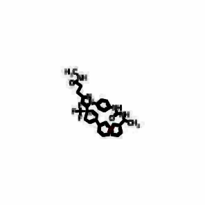 CNC(=O)CCc1cc([C@]2(C(F)(F)F)C=CC(c3ccccc3)=CC2)n(-c2ccc(NC(=O)NC(C)c3ccccc3)cc2)n1